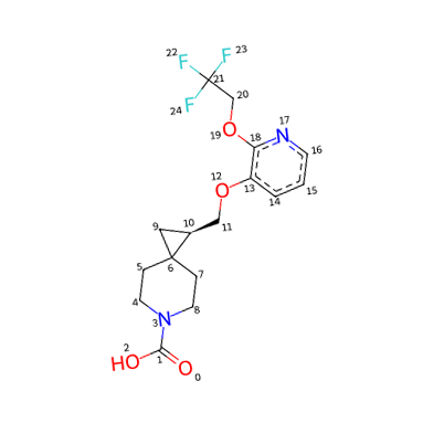 O=C(O)N1CCC2(CC1)C[C@H]2COc1cccnc1OCC(F)(F)F